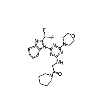 O=C(CNc1nc(N2CCOCC2)nc(-n2c(C(F)F)nc3ccccc32)n1)N1CCCCC1